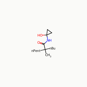 CCCCCC(C)(CCCC)C(=O)NC1(O)CC1